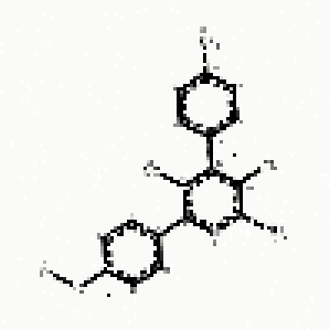 CCOc1ccc(-c2nc(N)c(C#N)c(-c3ccc(C(F)(F)F)cc3)c2C#N)cc1